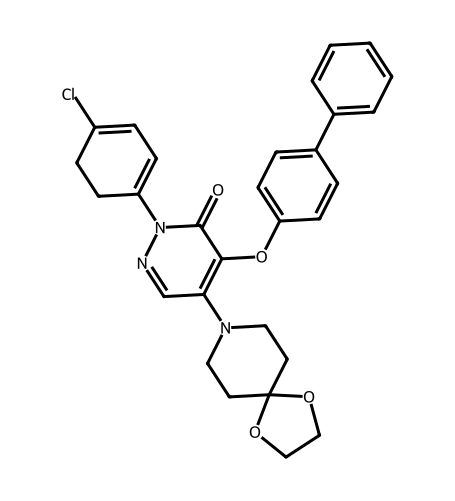 O=c1c(Oc2ccc(-c3ccccc3)cc2)c(N2CCC3(CC2)OCCO3)cnn1C1=CC=C(Cl)CC1